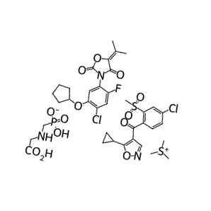 CC(C)=C1OC(=O)N(c2cc(OC3CCCC3)c(Cl)cc2F)C1=O.CS(=O)(=O)c1cc(Cl)ccc1C(=O)c1cnoc1C1CC1.C[S+](C)C.O=C(O)CNCP(=O)([O-])O